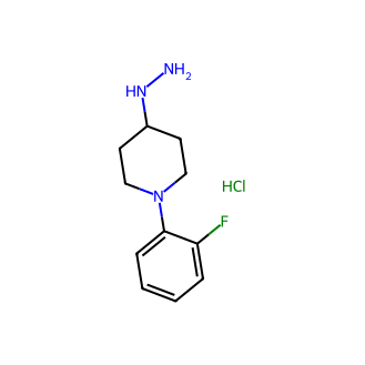 Cl.NNC1CCN(c2ccccc2F)CC1